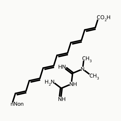 CCCCCCCCCC=CC=CC=CC=CC=CC=CC(=O)O.CN(C)C(=N)NC(=N)N